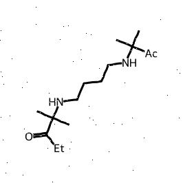 CCC(=O)C(C)(C)NCCCCNC(C)(C)C(C)=O